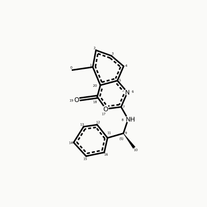 Cc1cccc2nc(N[C@@H](C)c3ccccc3)oc(=O)c12